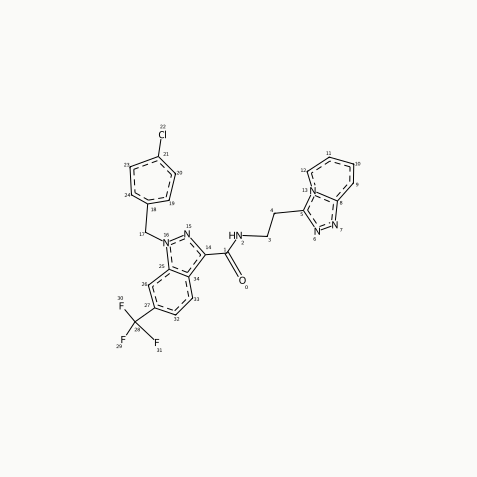 O=C(NCCc1nnc2ccccn12)c1nn(Cc2ccc(Cl)cc2)c2cc(C(F)(F)F)ccc12